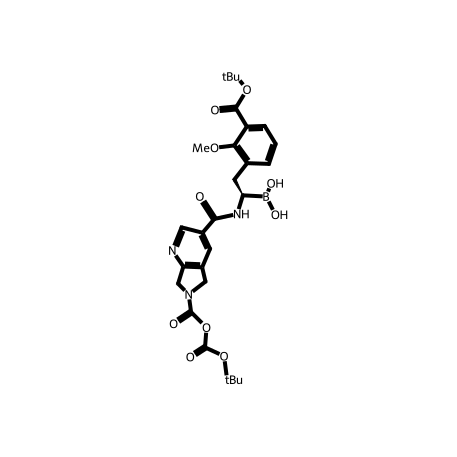 COc1c(C[C@H](NC(=O)c2cnc3c(c2)CN(C(=O)OC(=O)OC(C)(C)C)C3)B(O)O)cccc1C(=O)OC(C)(C)C